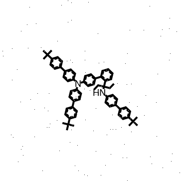 CCC(CC)(Nc1ccc(-c2ccc(C(C)(C)C)cc2)cc1)c1ccccc1-c1ccc(N(c2ccc(-c3ccc(C(C)(C)C)cc3)cc2)c2ccc(-c3ccc(C(C)(C)C)cc3)cc2)cc1